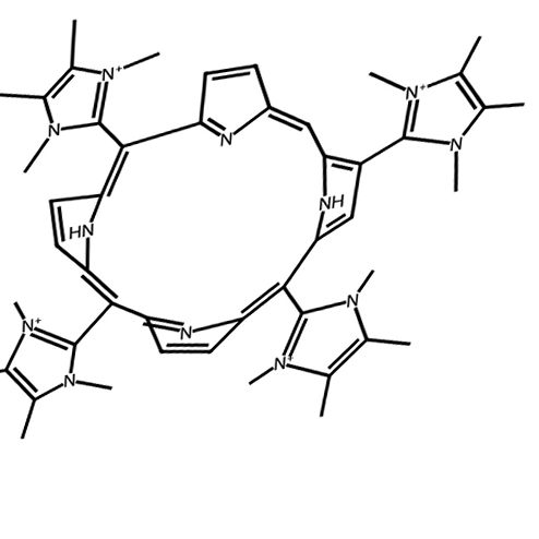 Cc1c(C)[n+](C)c(-c2cc3[nH]c2cc2nc(c(-c4n(C)c(C)c(C)[n+]4C)c4ccc([nH]4)c(-c4n(C)c(C)c(C)[n+]4C)c4nc(c3-c3n(C)c(C)c(C)[n+]3C)C=C4)C=C2)n1C